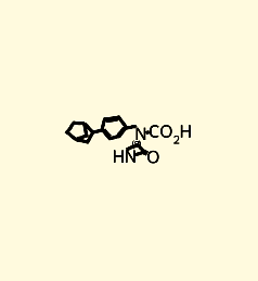 O=C1NC[C@@H]1N(Cc1ccc(C2CC3CCC2C3)cc1)C(=O)O